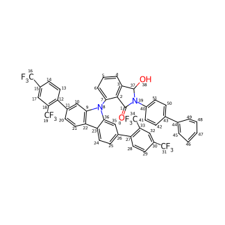 O=C1c2c(cccc2-n2c3cc(-c4ccc(C(F)(F)F)cc4C(F)(F)F)ccc3c3ccc(-c4ccc(C(F)(F)F)cc4C(F)(F)F)cc32)C(O)N1c1ccc(-c2ccccc2)cc1